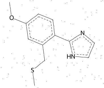 COc1ccc(-c2ncc[nH]2)c(CSC)c1